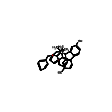 [CH2]=[Hf]([CH3])([CH3])([CH2]CCc1ccccc1)([c]1ccccc1)([CH]1C=CC=C1)[CH]1c2cc(C(C)(C)C)ccc2-c2ccc(C(C)(C)C)cc21